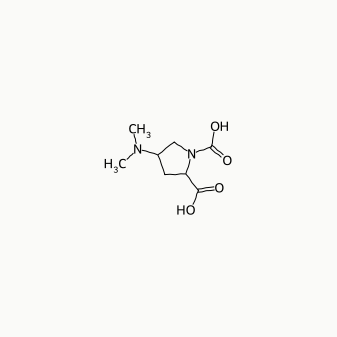 CN(C)C1CC(C(=O)O)N(C(=O)O)C1